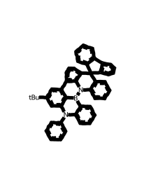 CC(C)(C)c1cc2c3c(c1)N(c1ccccc1)c1ccccc1B3N1c3ccccc3C3(c4ccccc4-c4ccccc43)c3cccc-2c31